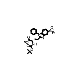 COC(=O)[C@H](CCc1nc2cc([N+](=O)[O-])ccc2n1-c1ccccc1)NC(=O)OC(C)(C)C